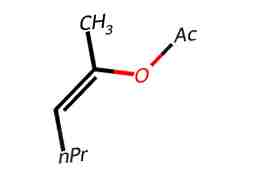 CCCC=C(C)OC(C)=O